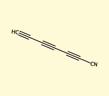 C#CC#CC#CC#N